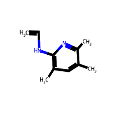 C=CNc1nc(C)c(C)cc1C